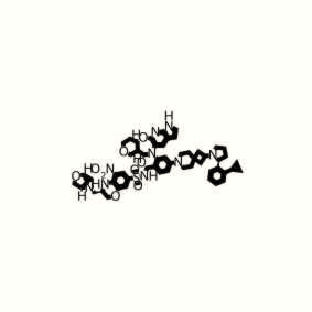 O=C(NS(=O)(=O)c1cc2c(c([N+](=O)[O-])c1)N[C@H](CN1C[C@H]3C[C@@H]1CO3)CO2)c1ccc(N2CCC3(CC2)CC(N2CCC[C@H]2c2ccccc2C2CC2)C3)cc1N1C[C@H]2COCC[C@@H]2Oc2nc3[nH]ccc3cc21